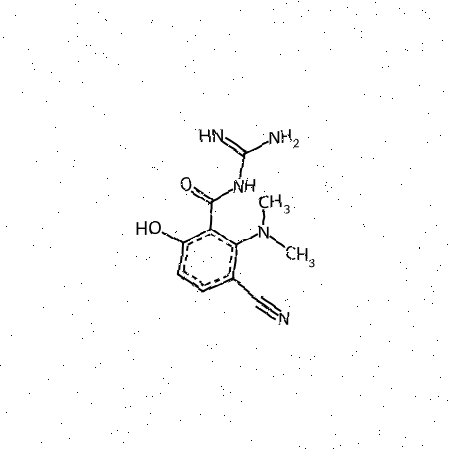 CN(C)c1c(C#N)ccc(O)c1C(=O)NC(=N)N